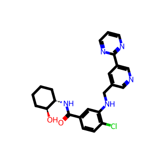 O=C(N[C@H]1CCCC[C@@H]1O)c1ccc(Cl)c(NCc2cncc(-c3ncccn3)c2)c1